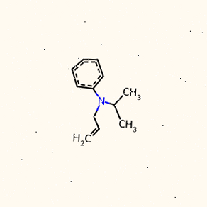 C=CCN(c1c[c]ccc1)C(C)C